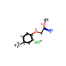 CCOC(=N)COc1ccc(C(F)(F)F)cc1.Cl